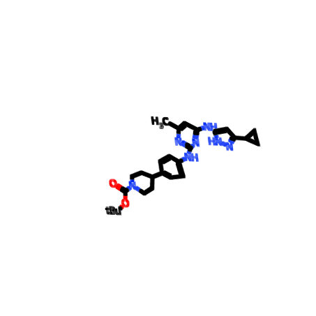 Cc1cc(Nc2cc(C3CC3)n[nH]2)nc(Nc2ccc(C3CCN(C(=O)OC(C)(C)C)CC3)cc2)n1